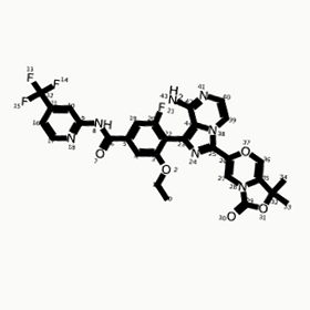 CCOc1cc(C(=O)Nc2cc(C(F)(F)F)ccn2)cc(F)c1-c1nc(C2=CN3C(=O)OC(C)(C)C3=CO2)n2ccnc(N)c12